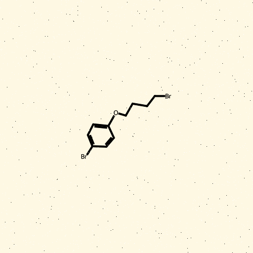 BrCCCCOc1ccc(Br)cc1